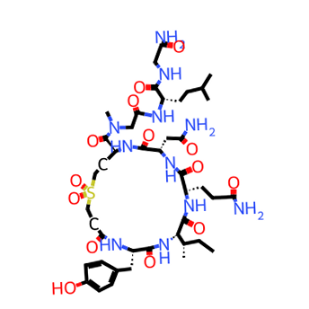 CC[C@H](C)[C@@H]1NC(=O)[C@H](Cc2ccc(O)cc2)NC(=O)CCS(=O)(=O)CC[C@@H](C(=O)N(C)CC(=O)N[C@@H](CCC(C)C)C(=O)NCC(N)=O)NC(=O)[C@H](CC(N)=O)NC(=O)[C@H](CCC(N)=O)NC1=O